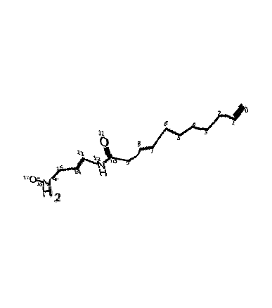 C=CCCCCCCCCC(=O)NCCC[NH2+][O-]